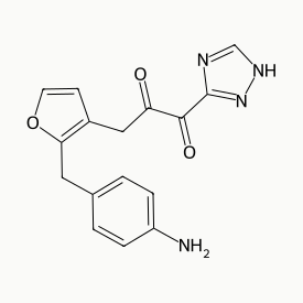 Nc1ccc(Cc2occc2CC(=O)C(=O)c2nc[nH]n2)cc1